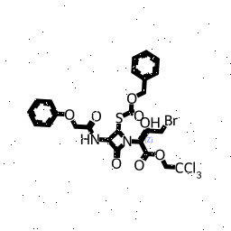 O=C(COc1ccccc1)NC1C(=O)N(/C(C(=O)OCC(Cl)(Cl)Cl)=C(\O)CBr)C1SC(=O)OCc1ccccc1